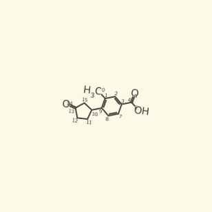 Cc1cc(C(=O)O)ccc1C1CCC(=O)C1